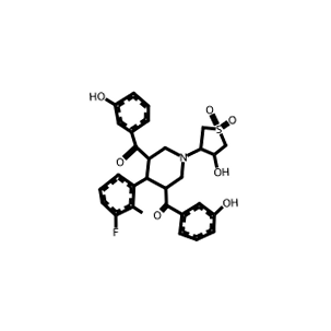 Cc1c(F)cccc1C1C(C(=O)c2cccc(O)c2)CN(C2CS(=O)(=O)CC2O)CC1C(=O)c1cccc(O)c1